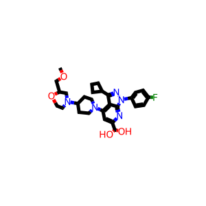 COCC1CN(C2CCN(c3cc(C(O)O)nc4c3c(C3CCC3)nn4-c3ccc(F)cc3)CC2)CCO1